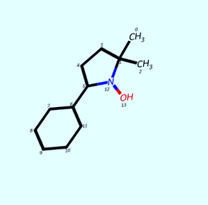 CC1(C)CCC(C2CCCCC2)N1O